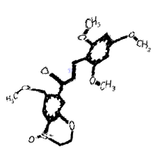 COc1cc(OC)c(/C=C/C(=O)c2cc3c(cc2OC)[S+]([O-])CCO3)c(OC)c1